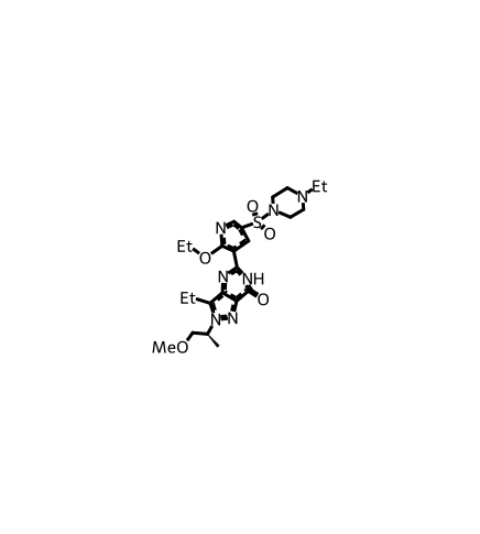 CCOc1ncc(S(=O)(=O)N2CCN(CC)CC2)cc1-c1nc2c(CC)n([C@@H](C)COC)nc2c(=O)[nH]1